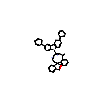 C=C1/C=C(n2c3ccc(-c4ccccc4)cc3c3cc(-c4ccccc4)ccc32)\C=C/CC2(c3ccccc31)c1ccccc1-c1ccccc12